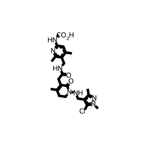 CC1=C(CC(=O)NCc2c(C)cc(NC(=O)O)nc2C)C(=O)N(NCc2c(C)nn(C)c2Cl)CC1